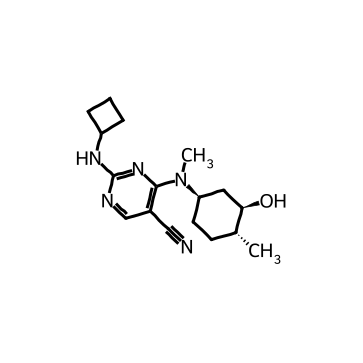 C[C@@H]1CC[C@@H](N(C)c2nc(NC3CCC3)ncc2C#N)C[C@H]1O